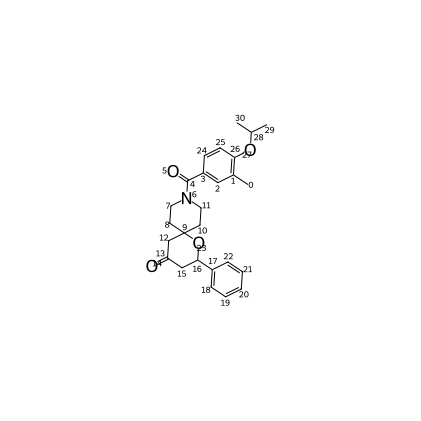 Cc1cc(C(=O)N2CCC3(CC2)CC(=O)CC(c2ccccc2)O3)ccc1OC(C)C